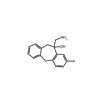 NCC1(O)Cc2ccccc2Sc2ccc(F)cc21